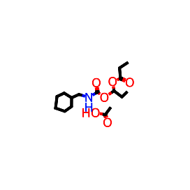 CC(=O)O.CCC(=O)OC(CC)OC(=O)NCC1CCCCC1